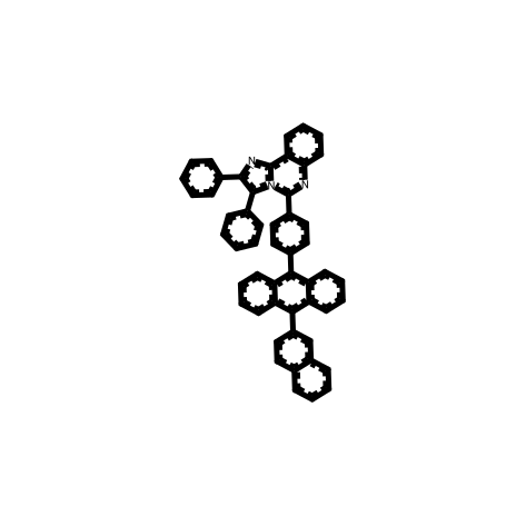 c1ccc(-c2nc3c4ccccc4nc(-c4ccc(-c5c6ccccc6c(-c6ccc7ccccc7c6)c6ccccc56)cc4)n3c2-c2ccccc2)cc1